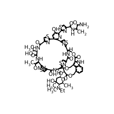 C=C(NC(=O)c1csc(-c2nc3c(cc2O)-c2nc(cs2)C(=O)N[C@@H]([C@@H](C)O)C(=O)N/C(=C(\C)OC)c2nc(cs2)C(=O)N[C@@H]2c4nc(cs4)C(=O)N[C@@H](COC(=O)c4[nH]c5cccc6c5c4COC2[C@H](O[C@H]2C[C@](C)(O)[C@H](N(C)CC)[C@H](C)O2)C(=O)OC6)c2nc-3cs2)n1)C(N)=O